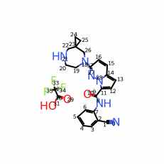 N#Cc1ccccc1NC(=O)c1ccc2ccc(N3CCNCC4(CC4)C3)nn12.O=C(O)C(F)(F)F